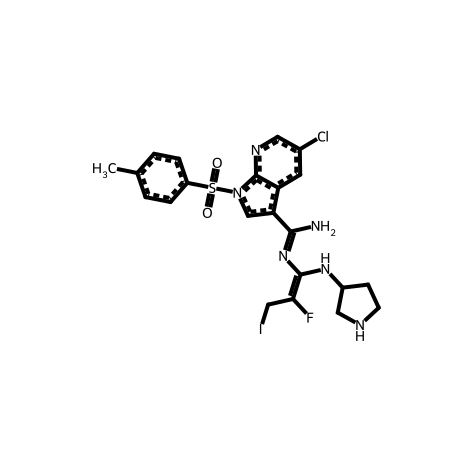 Cc1ccc(S(=O)(=O)n2cc(/C(N)=N/C(NC3CCNC3)=C(/F)CI)c3cc(Cl)cnc32)cc1